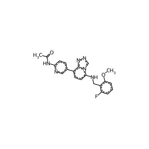 COc1cccc(F)c1CNc1ccc(-c2ccc(NC(C)=O)nc2)c2nncn12